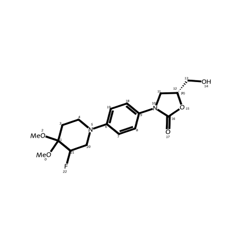 COC1(OC)CCN(c2ccc(N3C[C@H](CO)OC3=O)cc2)CC1F